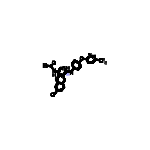 CCC(=O)Nc1c[nH]/c(=N\c2ccc(Oc3ccc(C(F)(F)F)nn3)cc2)n(Cc2ccc(Cl)cc2)c1=O